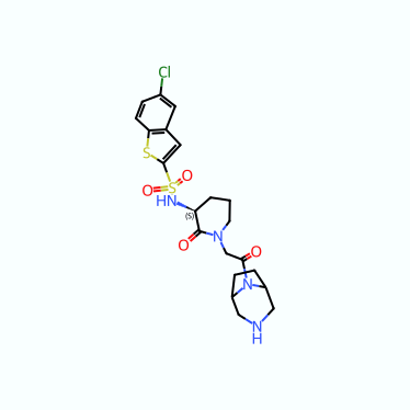 O=C1[C@@H](NS(=O)(=O)c2cc3cc(Cl)ccc3s2)CCCN1CC(=O)N1C2CCC1CNC2